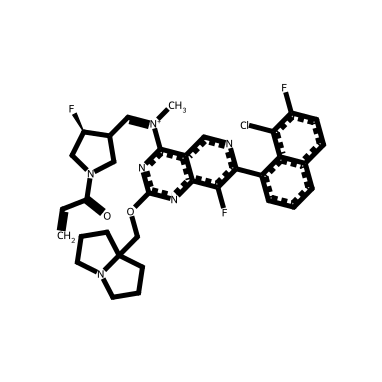 C=CC(=O)N1CC(/C=[N+](/C)c2nc(OCC34CCCN3CCC4)nc3c(F)c(-c4cccc5ccc(F)c(Cl)c45)ncc23)[C@H](F)C1